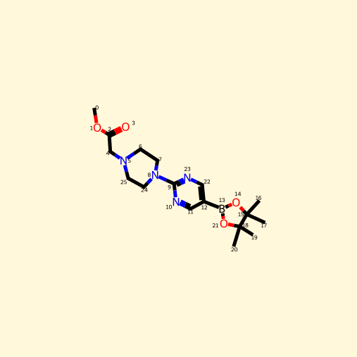 COC(=O)CN1CCN(c2ncc(B3OC(C)(C)C(C)(C)O3)cn2)CC1